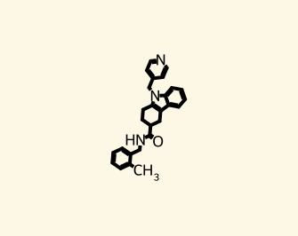 Cc1ccccc1CNC(=O)C1CCc2c(c3ccccc3n2Cc2ccncc2)C1